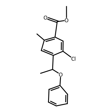 COC(=O)c1cc(Cl)c(C(C)Oc2ccccc2)cc1C